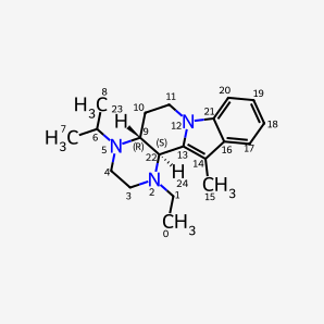 CCN1CCN(C(C)C)[C@@H]2CCn3c(c(C)c4ccccc43)[C@H]21